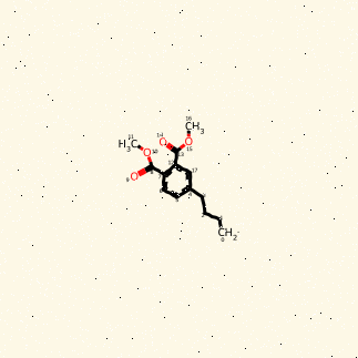 [CH2]CCCc1ccc(C(=O)OC)c(C(=O)OC)c1